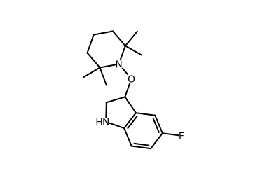 CC1(C)CCCC(C)(C)N1OC1CNc2ccc(F)cc21